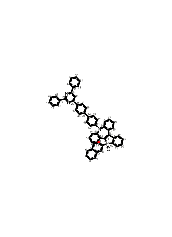 O=P1(c2ccc3ccccc3c2)C2=C(c3ccccc3N(c3ccc(-c4ccc(-c5cc(-c6ccccc6)nc(-c6ccccc6)n5)cc4)cc3)c3ccccc32)c2ccccc21